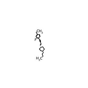 CCCC[C@H]1CC[C@H](C=CC#Cc2ccc(CC)cc2F)CC1